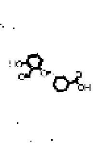 O=Cc1c(O)cccc1OC[C@H]1CCCC(C(=O)O)C1